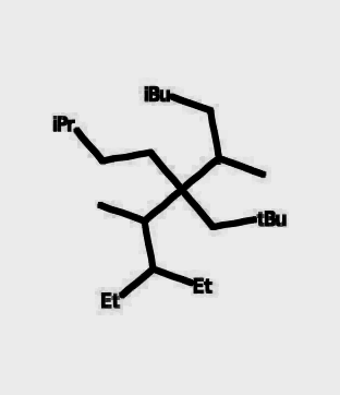 CCC(C)C[C](C)C(CCC(C)C)(CC(C)(C)C)C(C)C(CC)CC